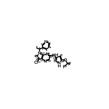 CC(c1cccnc1)n1nc(Cl)c2ncc(Nc3cc(OC(F)F)[nH]n3)nc21